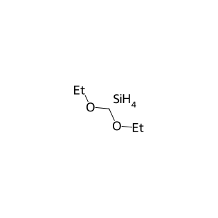 CCOCOCC.[SiH4]